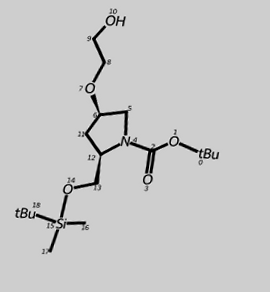 CC(C)(C)OC(=O)N1C[C@H](OCCO)C[C@@H]1CO[Si](C)(C)C(C)(C)C